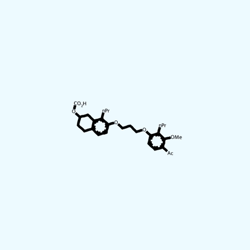 CCCc1c(OCCCOc2ccc(C(C)=O)c(OC)c2CCC)ccc2c1CC(OC(=O)O)CC2